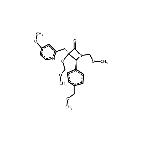 COCO[C@@]1(Cc2cc(OC)ccn2)C(=O)N(COC)[C@H]1c1ccc(COC)cc1